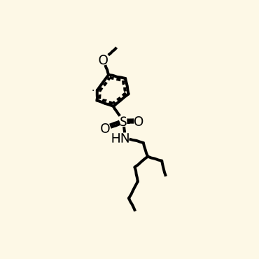 CCCCC(CC)CNS(=O)(=O)c1c[c]c(OC)cc1